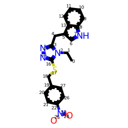 CCn1c(Cc2c[nH]c3ccccc23)nnc1SCc1ccc([N+](=O)[O-])cc1